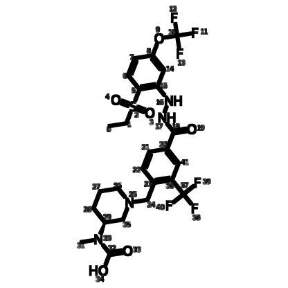 CCS(=O)(=O)c1ccc(OC(F)(F)F)cc1NNC(=O)c1ccc(CN2CCC[C@H](N(C)C(=O)O)C2)c(C(F)(F)F)c1